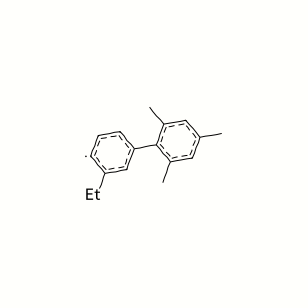 CCc1[c]ccc(-c2c(C)cc(C)cc2C)c1